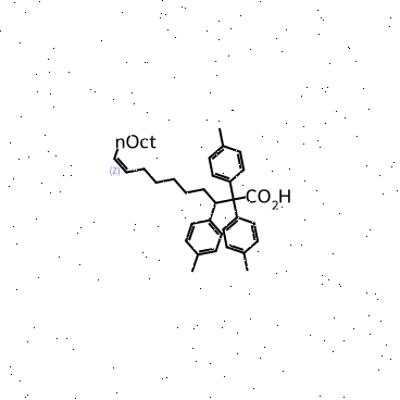 CCCCCCCC/C=C\CCCCCC(c1ccc(C)cc1)C(C(=O)O)(c1ccc(C)cc1)c1ccc(C)cc1